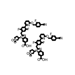 N#Cc1ccc(COc2cccc(-c3cc(F)c(Cc4nc5ccc(C(=O)O)cc5n4C4CCS(=O)(=O)C4)cc3F)n2)c(F)c1.N#Cc1ccc(COc2cccc(-c3cc(F)c(Cc4nc5ccc(C(=O)O)cc5n4C4CCS(=O)(=O)C4)cc3F)n2)c(F)c1